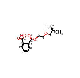 C=C(C)COCCOC(=O)c1ccccc1C(=O)O